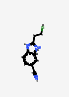 N#Cc1ccc2nc(CCCl)[nH]c2c1